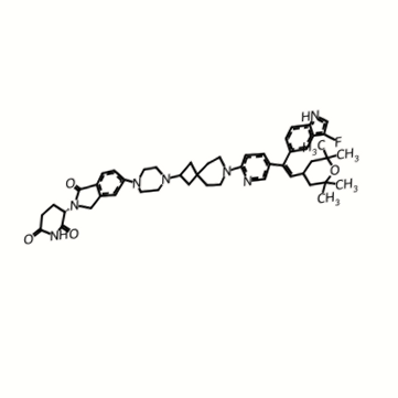 CC1(C)CC(C=C(c2ccc(N3CCC4(CC3)CC(N3CCN(c5ccc6c(c5)CN([C@H]5CCC(=O)NC5=O)C6=O)CC3)C4)nc2)c2ccc3[nH]cc(F)c3c2)CC(C)(C)O1